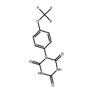 O=c1[nH]c(=O)n(-c2ccc(OC(F)(F)F)cc2)c(=O)[nH]1